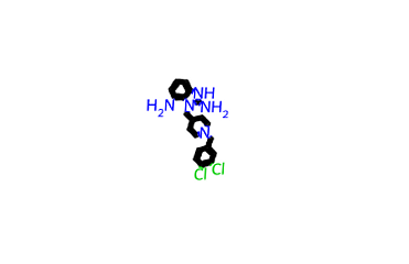 Nc1cccc2c1N(CC1CCN(Cc3ccc(Cl)c(Cl)c3)CC1)C(N)N2